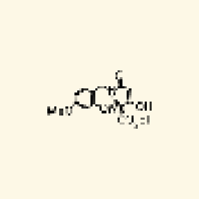 CCOC(=O)c1cn(Cc2ccc(OC)cc2OC)c(=O)cc1O